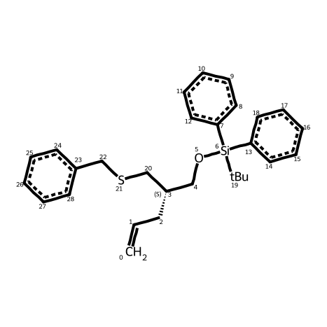 C=CC[C@@H](CO[Si](c1ccccc1)(c1ccccc1)C(C)(C)C)CSCc1ccccc1